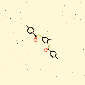 Cc1ccc(C(=O)Sc2ccc(SC(=O)c3ccc(C)cc3)c(C)c2)cc1